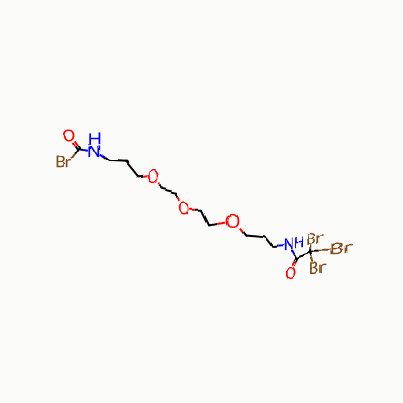 O=C(Br)NCCCOCCOCCOCCCNC(=O)C(Br)(Br)Br